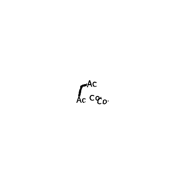 CC(=O)CC(C)=O.[Co].[Co]